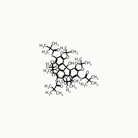 CC1(C)Oc2c(c(C(O)(c3c4c(c(SC(=O)C(C)(C)C)c5c3OC(C)(C)O5)OC(C)(C)O4)c3c4c(c(SC(=O)C(C)(C)C)c5c3OC(C)(C)O5)OC(C)(C)O4)c3c(c2SC(=O)C(C)(C)C)OC(C)(C)O3)O1